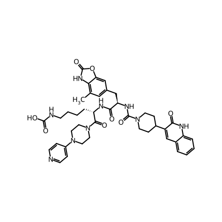 Cc1cc(C[C@@H](NC(=O)N2CCC(c3cc4ccccc4[nH]c3=O)CC2)C(=O)N[C@@H](CCCCNC(=O)O)C(=O)N2CCN(c3ccncc3)CC2)cc2oc(=O)[nH]c12